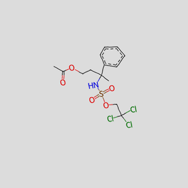 CC(=O)OCCC(C)(NS(=O)(=O)OCC(Cl)(Cl)Cl)c1ccccc1